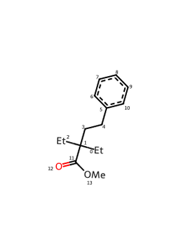 CCC(CC)(CCc1ccccc1)C(=O)OC